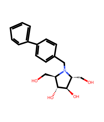 OC[C@@H]1[C@@H](O)[C@H](O)[C@@H](CO)N1Cc1ccc(-c2ccccc2)cc1